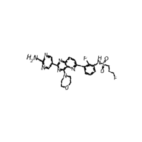 Nc1ncc(-c2nc(N3CCOCC3)c3nc(-c4cccc(NS(=O)(=O)CCCF)c4F)ccc3n2)cn1